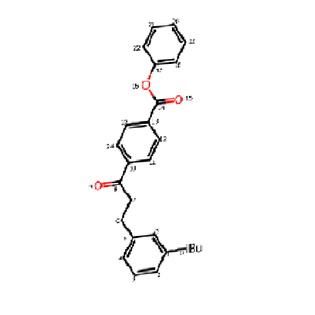 CCC(C)c1cccc(CCC(=O)c2ccc(C(=O)Oc3ccccc3)cc2)c1